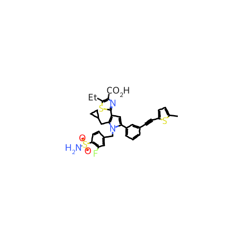 CCc1sc(-c2cc(-c3cccc(C#Cc4ccc(C)s4)c3)n(Cc3ccc(S(N)(=O)=O)c(F)c3)c2CC2CC2)nc1C(=O)O